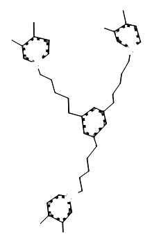 Cc1cc[n+](CCCCCc2cc(CCCCC[n+]3ccc(C)c(C)c3)cc(CCCCC[n+]3ccc(C)c(C)c3)c2)cc1C